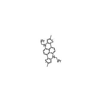 Cc1cc2c(s1)-c1ccc3c4c(ccc(c14)N2CC(C)C)-c1sc(C)cc1N3CC(C)C